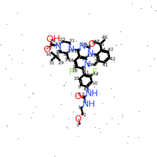 COCCNC(=O)Nc1ccc(-c2nc3c(cc2F)c(N2CCN(C(=O)O)[C@@H](C(C)(C)C)C2C)nc(=O)n3-c2c(C)cccc2C(C)C)c(F)c1